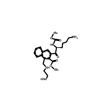 CCCCCCCCCCCCNCc1c(C(=O)OC(C)(C)C)c(C(=O)[C@H](CCCCN)NC(=O)OC(C)(C)C)cc2ccccc12